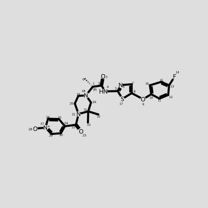 C[C@H](C(=O)Nc1ncc(Oc2ccc(F)cc2)s1)N1CCN(C(=O)c2cc[n+]([O-])cc2)C(C)(C)C1